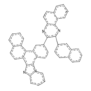 c1ccc2cc(-c3nc4c(ccc5ccccc54)nc3-c3ccc4c(c3)c3c5ccccc5ccc3c3nc5ccccn5c43)ccc2c1